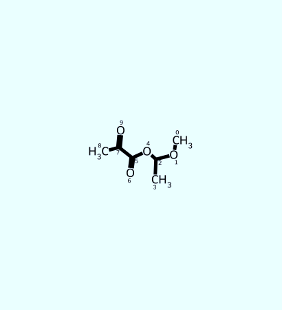 COC(C)OC(=O)C(C)=O